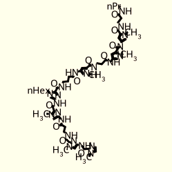 CCCCCCn1cc(NC(=O)c2nc(NC(=O)CCNC(=O)c3nc(NC(=O)c4nccn4C)cn3C)cn2C)nc1C(=O)NCCCC(=O)Nc1cc(C(=O)NCCC(=O)Nc2cc(C(=O)Nc3cc(C(=O)NCCC(=O)NCCC)n(C)c3)n(C)c2)n(C)c1